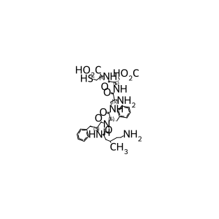 CC(CCN)CC(=O)N[C@@H](Cc1ccccc1)C(=O)N[C@@H](Cc1ccccc1)C(=O)NC[C@H](N)C(=O)N[C@@H](CC(=O)O)C(=O)N[C@@H](CS)C(=O)O